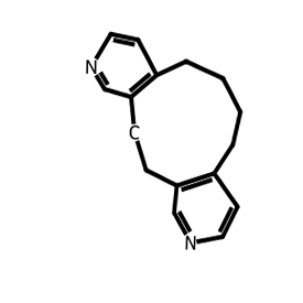 c1cc2c(cn1)CCc1cnccc1CCCC2